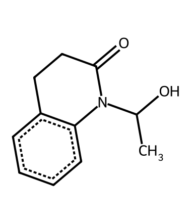 CC(O)N1C(=O)CCc2ccccc21